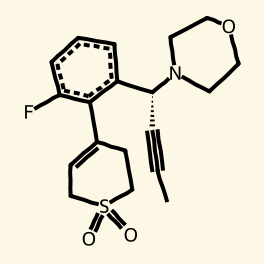 CC#C[C@H](c1cccc(F)c1C1=CCS(=O)(=O)CC1)N1CCOCC1